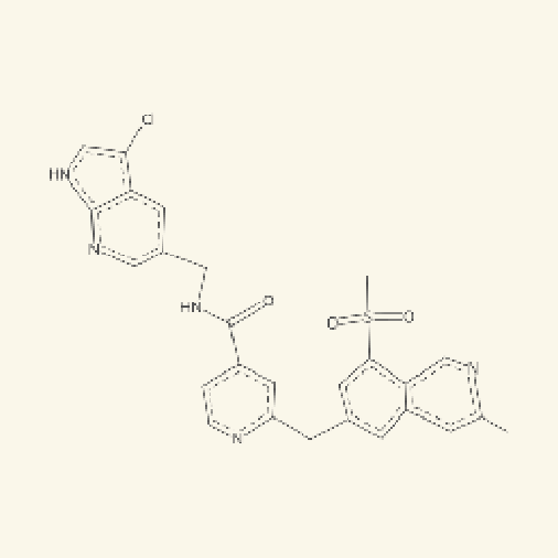 Cc1cc2cc(Cc3cc(C(=O)NCc4cnc5[nH]cc(Cl)c5c4)ccn3)cc(S(C)(=O)=O)c2cn1